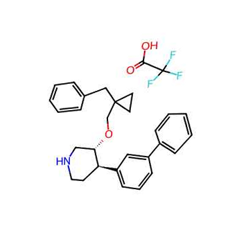 O=C(O)C(F)(F)F.c1ccc(CC2(CO[C@H]3CNCC[C@@H]3c3cccc(-c4ccccc4)c3)CC2)cc1